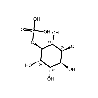 O=P(O)(O)O[C@H]1[C@@H](O)[C@@H](O)[C@@H](O)[C@H](O)[C@@H]1O